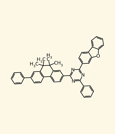 CC1(C)c2cc(-c3ccccc3)ccc2-c2ccc(-c3nc(-c4ccccc4)nc(-c4ccc5c(c4)oc4ccccc45)n3)cc2C1(C)C